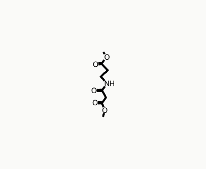 COC(=O)CCNC(=O)CC(=O)OC